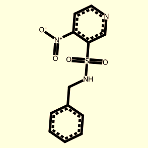 O=[N+]([O-])c1ccncc1S(=O)(=O)NCc1ccccc1